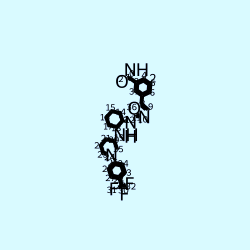 NC(=O)c1cccc(-c2cnc(N[C@@H]3CCCC[C@H]3NC3CCCN(c4ccc(C(F)(F)F)cc4)C3)o2)c1